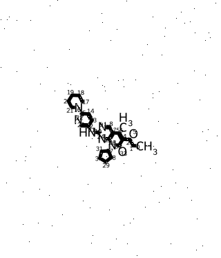 CCC(=O)c1c(C)c2cnc(Nc3ccc(N4CCCCC4)nc3)nc2n(C2CCCC2)c1=O